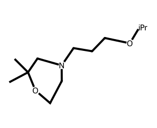 CC(C)OCCCN1CCOC(C)(C)C1